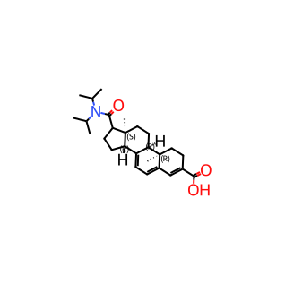 CC(C)N(C(=O)C1CC[C@H]2C3=CC=C4C=C(C(=O)O)CC[C@]4(C)[C@@H]3CC[C@]12C)C(C)C